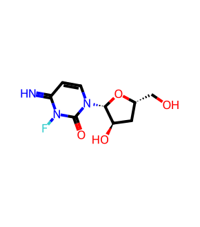 N=c1ccn([C@@H]2O[C@H](CO)C[C@H]2O)c(=O)n1F